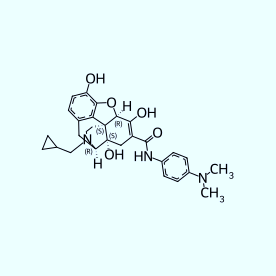 CN(C)c1ccc(NC(=O)C2=C(O)[C@@H]3Oc4c(O)ccc5c4[C@@]34CCN(CC3CC3)[C@H](C5)[C@]4(O)C2)cc1